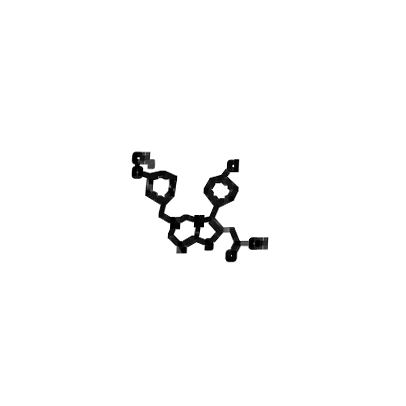 COc1cccc(CN2CN=C3SC(CC(=O)O)=C(c4ccc(Cl)cc4)N3C2)c1